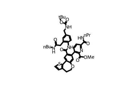 CCCCNC(=O)Cc1cc(CNC(=O)OC(C)(C)C)ccc1NC(=O)c1cc2c(cc1-c1ccc(C(=O)NCCC)nc1C(=O)OC)OCCc1ccsc1-2